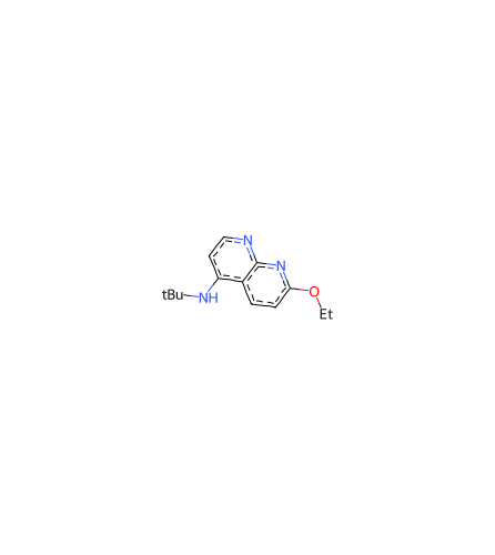 CCOc1ccc2c(NC(C)(C)C)ccnc2n1